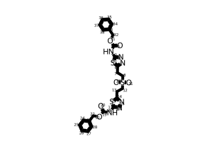 O=C(Nc1nnc(CCS(=O)(=O)CCc2nnc(NC(=O)OCc3ccccc3)s2)s1)OCc1ccccc1